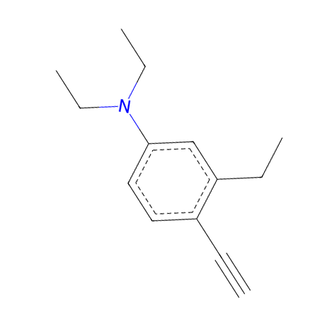 C#Cc1ccc(N(CC)CC)cc1CC